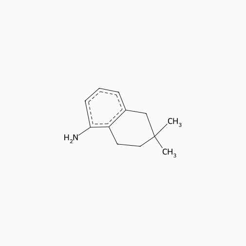 CC1(C)CCc2c(N)cccc2C1